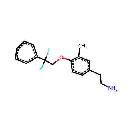 Cc1cc(CCN)ccc1OCC(F)(F)c1ccccc1